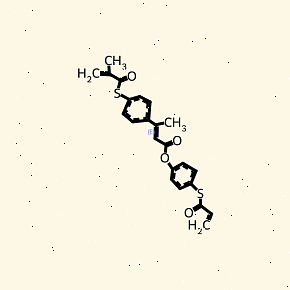 C=CC(=O)Sc1ccc(OC(=O)/C=C(\C)c2ccc(SC(=O)C(=C)C)cc2)cc1